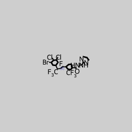 O=C(NNc1ncccn1)c1ccc(/C(F)=C/C(c2cc(Cl)c(Cl)c(Br)c2)C(F)(F)F)cc1C(F)(F)F